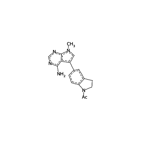 CC(=O)N1CCc2cc(-c3cn(C)c4ncnc(N)c34)ccc21